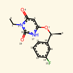 CCn1c(=O)cc(O[C@@H](C)c2cccc(F)c2)[nH]c1=O